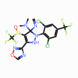 C=NC1(N(C)C)C([S+]([O-])C(F)(F)F)=C(c2ncon2)NN1c1c(Cl)cc(C(F)(F)F)cc1Cl